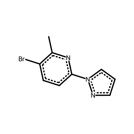 Cc1nc(-n2cccn2)ccc1Br